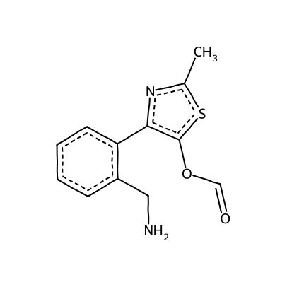 Cc1nc(-c2ccccc2CN)c(OC=O)s1